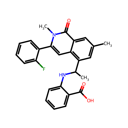 Cc1cc(C(C)Nc2ccccc2C(=O)O)c2cc(-c3ccccc3F)n(C)c(=O)c2c1